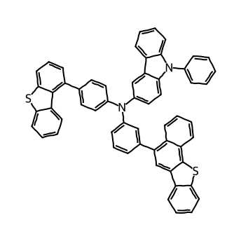 c1ccc(-n2c3ccccc3c3cc(N(c4ccc(-c5cccc6sc7ccccc7c56)cc4)c4cccc(-c5cc6c7ccccc7sc6c6ccccc56)c4)ccc32)cc1